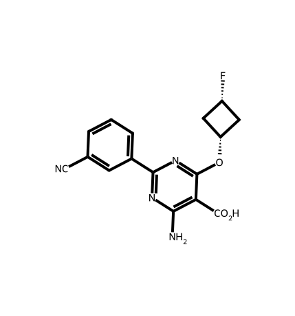 N#Cc1cccc(-c2nc(N)c(C(=O)O)c(O[C@H]3C[C@@H](F)C3)n2)c1